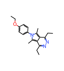 CCOc1ccc(-n2c(C)c3c(CC)nnc(CC)c3c2C)cc1